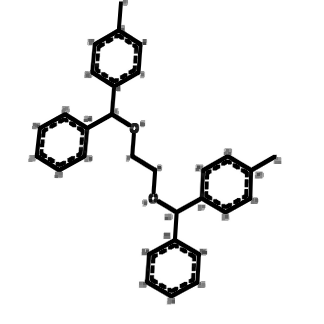 Cc1ccc(C(OCCOC(c2ccccc2)c2ccc(C)cc2)c2ccccc2)cc1